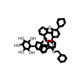 C=N/C(=N\C(=N/Cc1ccccc1)c1ccccc1)c1ccc(-c2ccccc2)c2oc3cccc(-n4c5ccccc5c5ccc(-c6c(O)c(O)c(O)c(O)c6O)cc54)c3c12